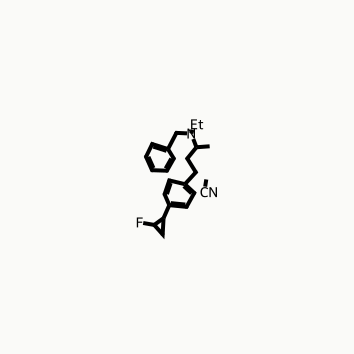 CC#N.CCN(Cc1ccccc1)C(C)CCc1ccc(C2CC2F)cc1